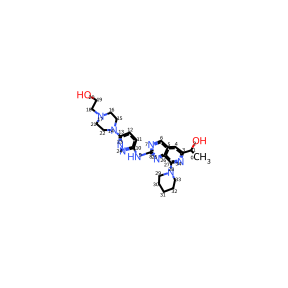 CC(O)c1cc2cnc(Nc3ccc(N4CCN(CCO)CC4)nn3)nc2c(N2CCCCC2)n1